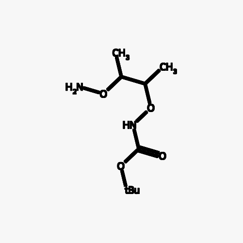 CC(ON)C(C)ONC(=O)OC(C)(C)C